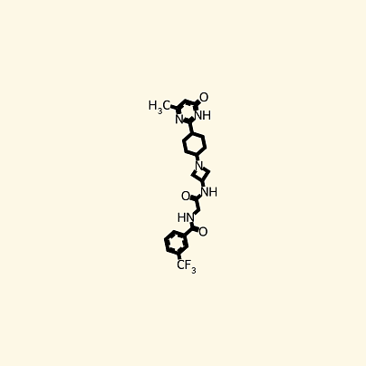 Cc1cc(=O)[nH]c(C2CCC(N3CC(NC(=O)CNC(=O)c4cccc(C(F)(F)F)c4)C3)CC2)n1